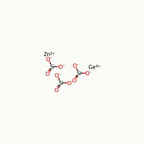 O=[Si]([O-])[O-].O=[Si]([O-])[O-].O=[Si]([O-])[O-].[Ge+4].[Zn+2]